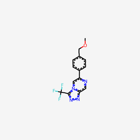 COCc1ccc(-c2cn3c(C(F)(F)F)nnc3cn2)cc1